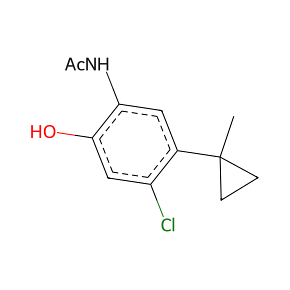 CC(=O)Nc1cc(C2(C)CC2)c(Cl)cc1O